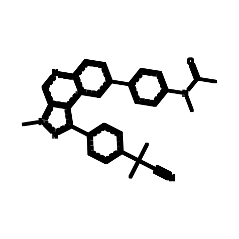 CC(=O)N(C)c1ccc(-c2ccc3ncc4c(c(-c5ccc(C(C)(C)C#N)cc5)nn4C)c3c2)cc1